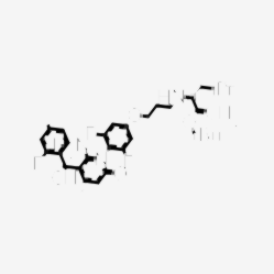 C=C(c1ccc(F)cc1F)c1ccc(=O)n(-c2c(F)cc(OCCCN[C@@H](CC(C)C)C(=C)OC(C)(C)C)cc2F)c1N